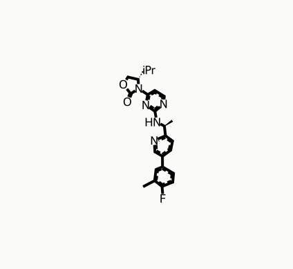 Cc1cc(-c2ccc([C@H](C)Nc3nccc(N4C(=O)OC[C@@H]4C(C)C)n3)nc2)ccc1F